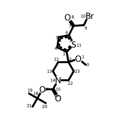 COC1(c2ccc(C(=O)CBr)s2)CCN(C(=O)OC(C)(C)C)CC1